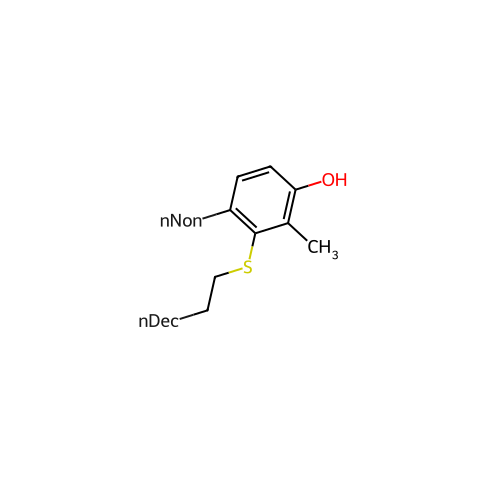 CCCCCCCCCCCCSc1c(CCCCCCCCC)ccc(O)c1C